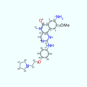 COc1cc2c(cc1N)c(=O)n(C)c1cnc(Nc3ccc(OCCN4CCCC4)cc3)nc21